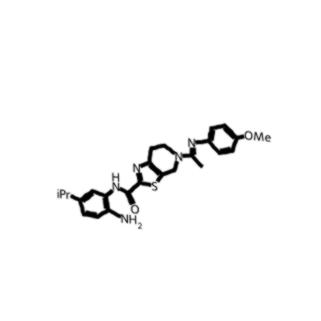 COc1ccc(N=C(C)N2CCc3nc(C(=O)Nc4cc(C(C)C)ccc4N)sc3C2)cc1